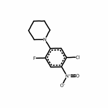 O=[N+]([O-])c1cc(F)c(N2CCCCC2)cc1Cl